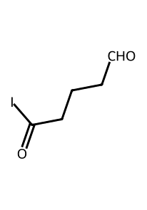 O=CCCCC(=O)I